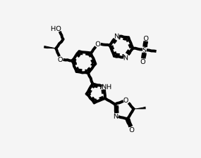 C[C@@H]1OC(c2ccc(-c3cc(Oc4cnc(S(C)(=O)=O)cn4)cc(O[C@@H](C)CO)c3)[nH]2)=NC1=O